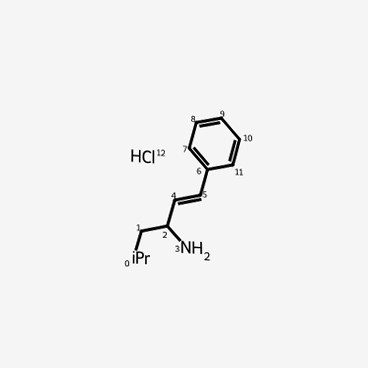 CC(C)CC(N)C=Cc1ccccc1.Cl